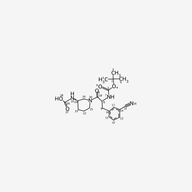 CC(C)(C)OC(=O)NC(Cc1cccc(C#N)c1)C(=O)N1CCC[C@@H](NC(=O)O)C1